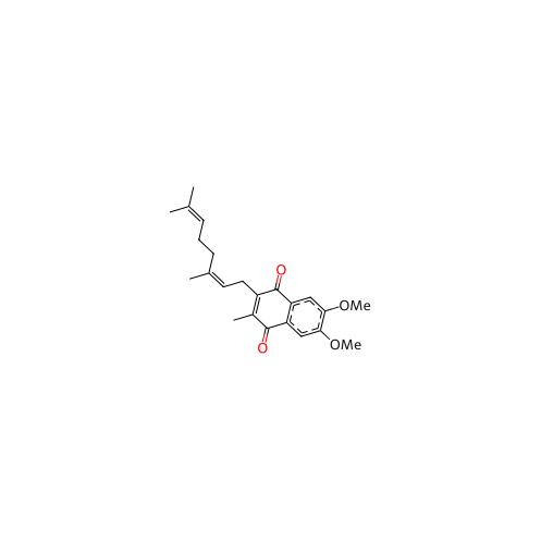 COc1cc2c(cc1OC)C(=O)C(CC=C(C)CCC=C(C)C)=C(C)C2=O